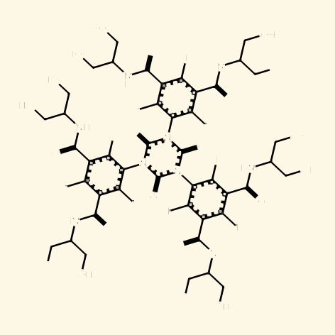 O=C(NC(CO)CO)c1c(I)c(C(=O)NC(CO)CO)c(I)c(-n2c(=O)n(-c3c(I)c(C(=O)NC(CO)CO)c(I)c(C(=O)NC(CO)CO)c3I)c(=O)n(-c3c(I)c(C(=O)NC(CO)CO)c(I)c(C(=O)NC(CO)CO)c3I)c2=O)c1I